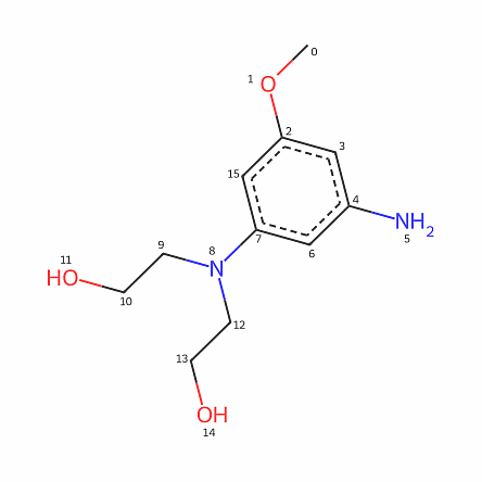 COc1cc(N)cc(N(CCO)CCO)c1